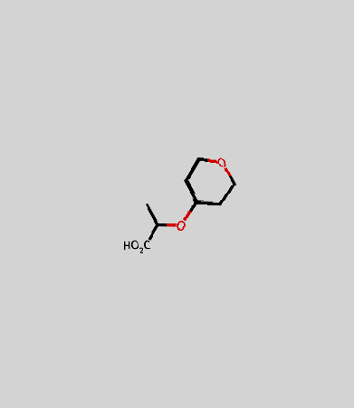 CC(OC1CCOCC1)C(=O)O